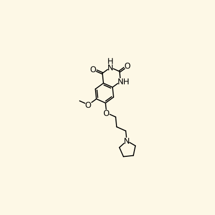 COc1cc2c(=O)[nH]c(=O)[nH]c2cc1OCCCN1CCCC1